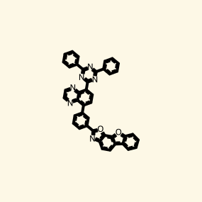 c1ccc(-c2nc(-c3ccccc3)nc(-c3ccc(-c4cccc(-c5nc6ccc7c8ccccc8oc7c6o5)c4)c4nccnc34)n2)cc1